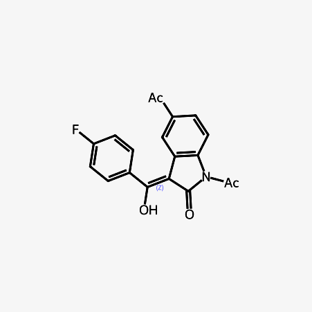 CC(=O)c1ccc2c(c1)/C(=C(/O)c1ccc(F)cc1)C(=O)N2C(C)=O